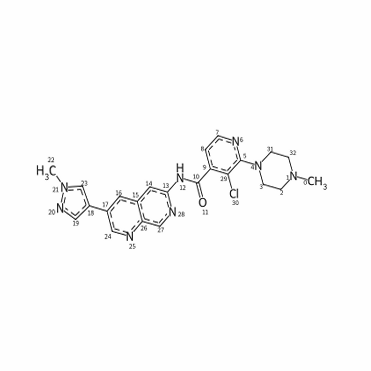 CN1CCN(c2nccc(C(=O)Nc3cc4cc(-c5cnn(C)c5)cnc4cn3)c2Cl)CC1